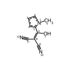 Cn1cccc1C(O)=C(C#N)C#N